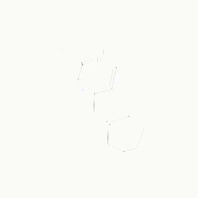 C=C(C)/C=C(\C=C/C)CN1CCCCC1